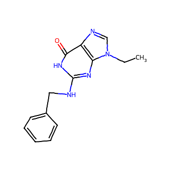 CCn1cnc2c(=O)[nH]c(NCc3ccccc3)nc21